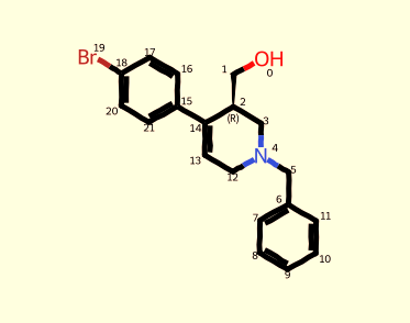 OC[C@H]1CN(Cc2ccccc2)CC=C1c1ccc(Br)cc1